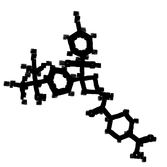 CC(=O)N1CCC(C(=O)N[C@H]2C[C@@](c3ccc(C(O)(C(F)(F)F)C(F)(F)F)cc3)(S(=O)(=O)c3ccc(F)cc3)C2)CC1